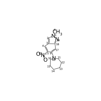 Cn1cc2cc([N+](=O)[O-])c(N3CCCCCC3)cc2n1